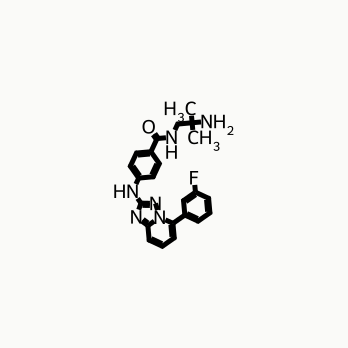 CC(C)(N)CNC(=O)c1ccc(Nc2nc3cccc(-c4cccc(F)c4)n3n2)cc1